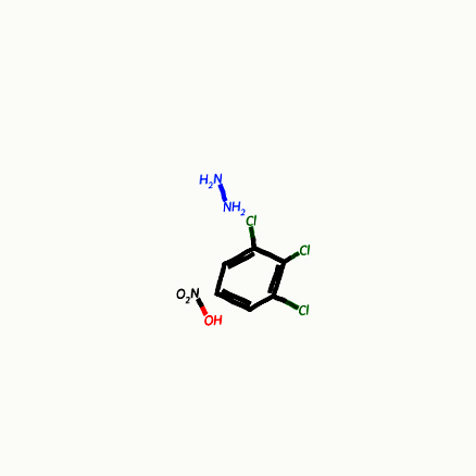 Clc1cccc(Cl)c1Cl.NN.O=[N+]([O-])O